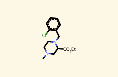 CCOC(=O)C1CN(C)CCN1Cc1ccccc1Cl